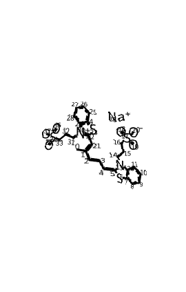 CC(C=CC=C1Sc2ccccc2N1CCCS(=O)(=O)[O-])=Cc1sc2ccccc2[n+]1CCCS(=O)(=O)[O-].[Na+]